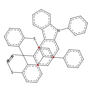 c1ccc(-c2ccc3c(c2)Sc2ccccc2C32c3ccccc3Sc3cccc(-c4ccc5c(c4)c4ccccc4n5-c4ccccc4)c32)cc1